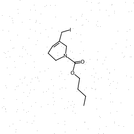 CCCCOC(=O)N1CCC=C(CI)C1